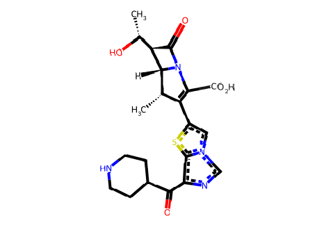 C[C@@H](O)[C@H]1C(=O)N2C(C(=O)O)=C(c3cn4cnc(C(=O)C5CCNCC5)c4s3)[C@H](C)[C@H]12